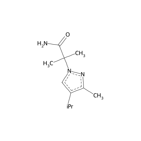 Cc1nn(C(C)(C)C(N)=O)cc1C(C)C